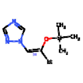 CC/C(=C/n1cncn1)O[Si](C)(C)C